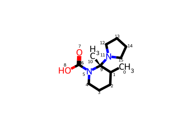 CC1CCCN(C(=O)O)[C@]1(C)N1CCCC1